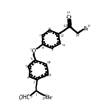 O=CC(Br)c1ccc(Oc2ccc(C(=O)CBr)cc2)cc1